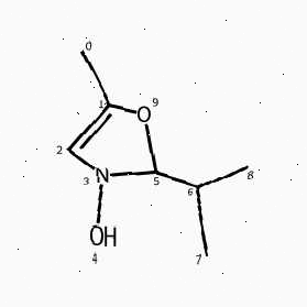 CC1=CN(O)C(C(C)C)O1